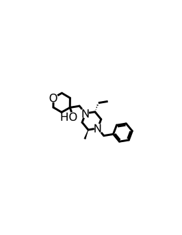 CC[C@@H]1CN(Cc2ccccc2)[C@@H](C)CN1CC1(O)CCOCC1